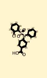 O=C(O)c1ccc(N(c2ccccc2)S(=O)(=O)c2ccccc2Cl)cc1